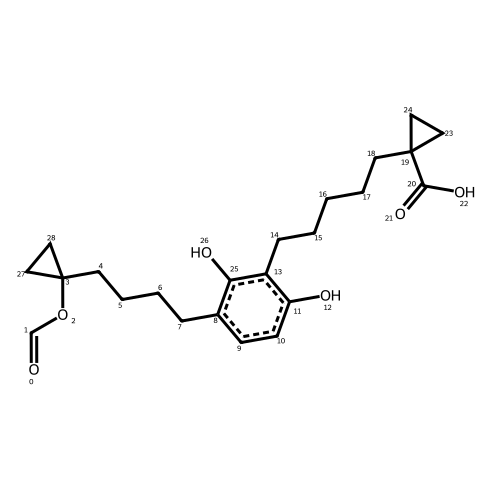 O=COC1(CCCCc2ccc(O)c(CCCCCC3(C(=O)O)CC3)c2O)CC1